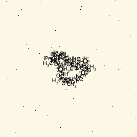 CC[C@H](C)[C@@H]([C@@H](CC(=O)N1CCC[C@H]1[C@H](OC)[C@@H](C)C(=O)N[C@H](C)[C@@H](O)c1ccccc1)OC)N(C)C(=O)[C@@H](NC(=O)[C@H](C(C)C)N(C)C(=O)OCc1ccc(NC(=O)[C@H](C)NC(=O)[C@H](C)NC(=O)CCNC(=O)c2cnc(S(C)(=O)=O)c(C#N)c2)cc1)C(C)C